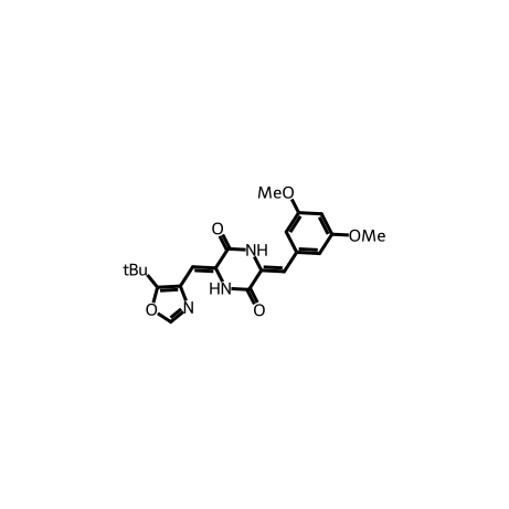 COc1cc(C=c2[nH]c(=O)c(=Cc3ncoc3C(C)(C)C)[nH]c2=O)cc(OC)c1